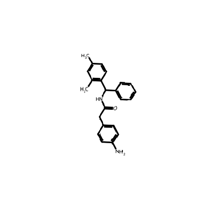 Cc1ccc(C(NC(=O)Cc2ccc(N)cc2)c2ccccc2)c(C)c1